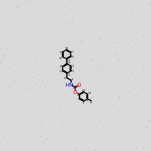 Cc1ccc(OC(=O)NCCc2ccc(-c3ccccc3)cc2)cc1